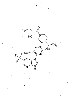 CC[C@@H](O)C(=O)N1CCC([C@@H](C)Nc2ncc(C#N)c(-c3c[nH]c4ncc(C(F)(F)F)cc34)n2)CC1